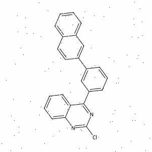 Clc1nc(-c2cccc(-c3ccc4ccccc4c3)c2)c2ccccc2n1